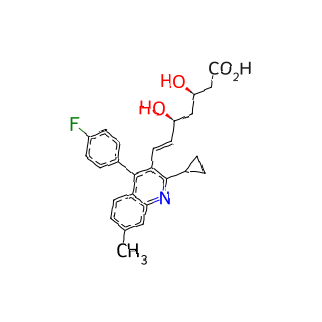 Cc1ccc2c(-c3ccc(F)cc3)c(/C=C/[C@@H](O)C[C@@H](O)CC(=O)O)c(C3CC3)nc2c1